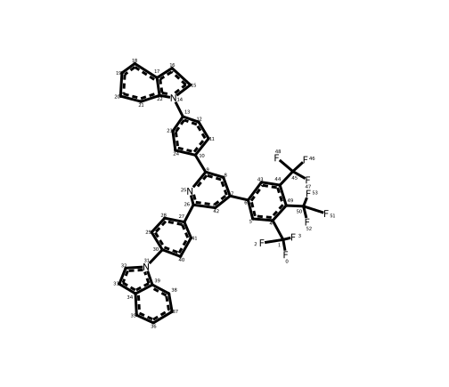 FC(F)(F)c1cc(-c2cc(-c3ccc(-n4ccc5ccccc54)cc3)nc(-c3ccc(-n4ccc5ccccc54)cc3)c2)cc(C(F)(F)F)c1C(F)(F)F